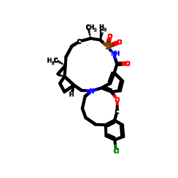 C[C@@H]1[C@@H](C)CCC[C@]2(C)C[C@]23CC[C@H]3CN2CCCCc3cc(Cl)ccc3COc3ccc(cc32)C(=O)NS1(=O)=O